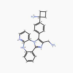 NCc1nc2n(c1-c1ccc(C3(N)CCC3)cc1)-c1cccnc1Nc1ccccc1-2